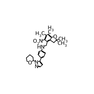 Cc1c(C)c([N+](=O)[O-])c(CNc2ccc(-c3ccnn3C3CCCCO3)cc2)c2c1OC(C)(C)C2